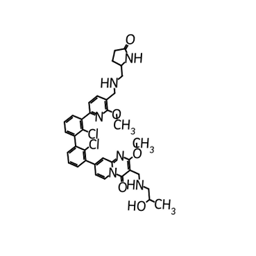 COc1nc(-c2cccc(-c3cccc(-c4ccn5c(=O)c(CNCC(C)O)c(OC)nc5c4)c3Cl)c2Cl)ccc1CNCC1CCC(=O)N1